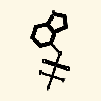 O=S(=O)(Oc1cccc2sccc12)C(F)(F)F